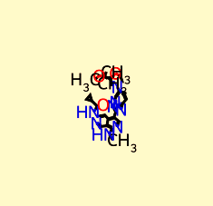 CNc1ncc(-c2nc3ccc(N4CCOC(C(C)(C)OC)C4)cn3n2)c2cc(NC(=O)C3CC3)ncc12